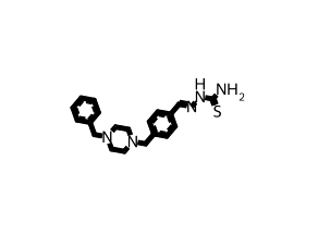 NC(=S)N/N=C/c1ccc(CN2CCN(Cc3ccccc3)CC2)cc1